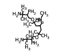 CCNCC(CC(C)(C)OCC(P)C(C)(C)N)CC(C)(C)OCC(P)C(C)(C)N